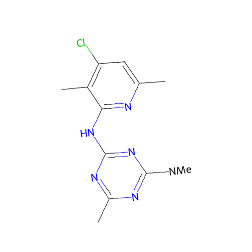 CNc1nc(C)nc(Nc2nc(C)cc(Cl)c2C)n1